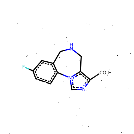 O=C(O)c1ncn2c1CNCc1cc(F)ccc1-2